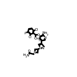 CC(Oc1cc(-c2cnn(C3CN(CC(N)=O)C3)c2)cnc1N)c1c(Cl)ccc(F)c1Cl